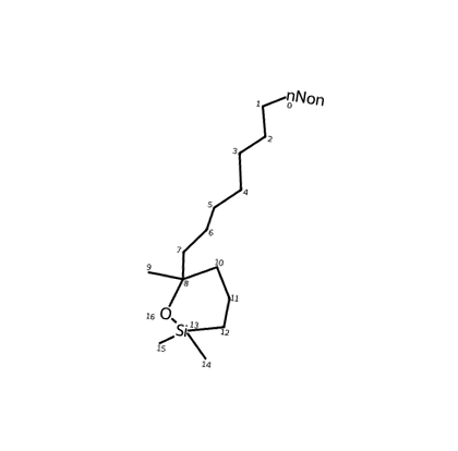 CCCCCCCCCCCCCCCCC1(C)CCC[Si](C)(C)O1